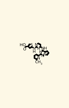 Cc1cccc(-c2nc(Nc3ccnc(Nc4cc(C(=O)O)cs4)n3)c3cccn3n2)n1